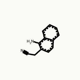 N#CCc1ccc2ccccc2c1N